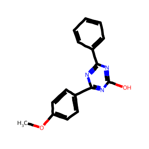 COc1ccc(-c2nc(O)nc(-c3ccccc3)n2)cc1